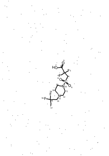 O=C(O)C(F)(F)CS(=O)(=O)N1CCN(CC(F)(F)F)CC1